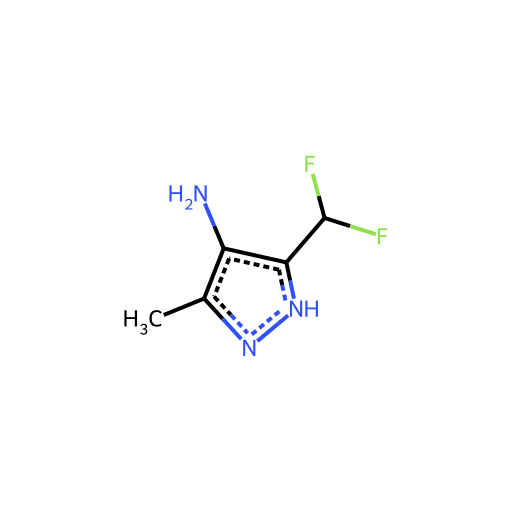 Cc1n[nH]c(C(F)F)c1N